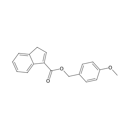 COc1ccc(COC(=O)C2=CCc3ccccc32)cc1